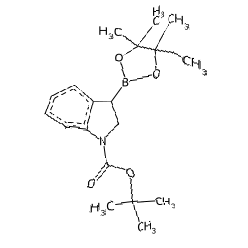 CC(C)(C)OC(=O)N1CC(B2OC(C)(C)C(C)(C)O2)c2ccccc21